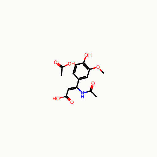 CC(=O)O.COc1cc(C(=CC(=O)O)NC(C)=O)ccc1O